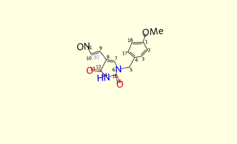 COc1ccc(Cn2cc(/C=C/N=O)c(=O)[nH]c2=O)cc1